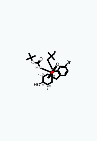 C[C@@H]1C[C@@]2(Cc3ccc(Br)cc3[C@]23N=C(NC(=O)OC(C)(C)C)N(CC(C)(C)F)C3=O)C[C@H](C)[C@H]1O